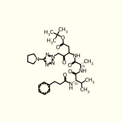 CC(C)[C@H](NC(=O)CCc1ccccc1)C(=O)N[C@@H](C)C(=O)NC(CC(=O)OC(C)(C)C)C(=O)Cn1nnc(N2CCCC2)n1